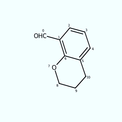 O=Cc1cccc2c1OCCC2